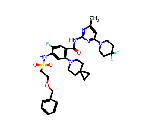 Cc1cc(N2CCC(F)(F)CC2)nc(NC(=O)c2cc(F)c(NS(=O)(=O)CCOCc3ccccc3)cc2N2CCC3(CC2)CC3)n1